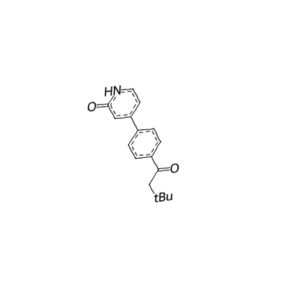 CC(C)(C)CC(=O)c1ccc(-c2cc[nH]c(=O)c2)cc1